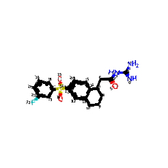 N=C(N)NC(=O)CC1CCCc2cc(S(=O)(=O)c3cccc(F)c3)ccc21